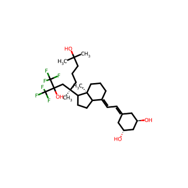 CC(C)(O)CCC[C@](C)(CC(O)(C(F)(F)F)C(F)(F)F)C1CCC2/C(=C/C=C3C[C@@H](O)C[C@H](O)C3)CCC[C@@]21C